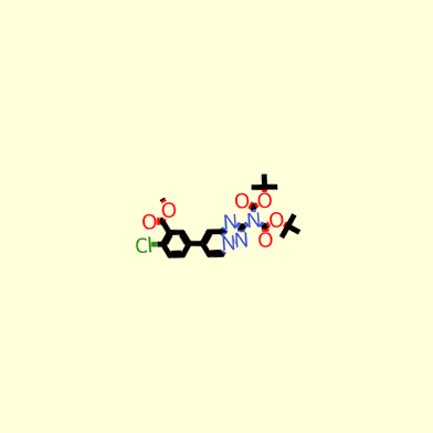 COC(=O)c1cc(-c2ccn3nc(N(C(=O)OC(C)(C)C)C(=O)OC(C)(C)C)nc3c2)ccc1Cl